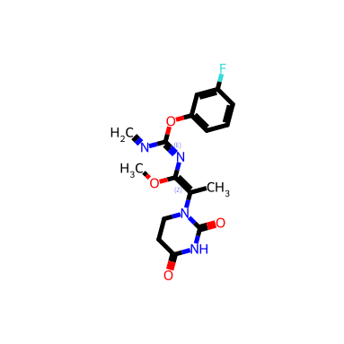 C=N/C(=N\C(OC)=C(/C)N1CCC(=O)NC1=O)Oc1cccc(F)c1